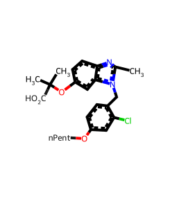 CCCCCOc1ccc(Cn2c(C)nc3ccc(OC(C)(C)C(=O)O)cc32)c(Cl)c1